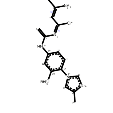 C=C(/N=C(Cl)\C=C(\C)N)Nc1ccc(-n2cnc(C)c2)c(OC)c1